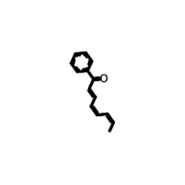 C\C=C/C=C\C=C\C(=O)c1ccccc1